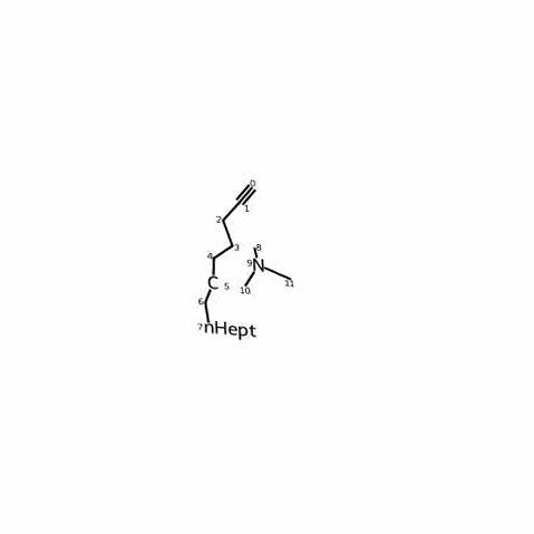 C#CCCCCCCCCCCCC.CN(C)C